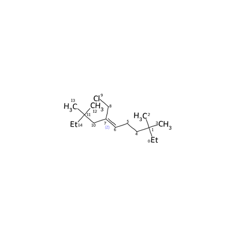 CCC(C)(C)CC/C=C(\CCl)CC(C)(C)CC